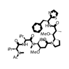 CC[C@H](C)[C@@H]([C@@H](CC(=O)N1CCC[C@H]1[C@H](OC)[C@@H](C)C(=O)N[C@@H](Cc1ccccc1)c1nccs1)OC)N(C)C(=O)[C@@H](NC(=O)[C@H](C(C)C)N(C)C(C)=O)C(C)C